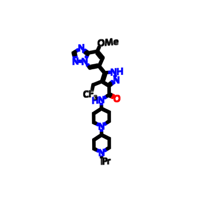 COc1cc(-c2[nH]nc(C(=O)NC3CCN(C4CCN(C(C)C)CC4)CC3)c2CC(F)(F)F)cn2ncnc12